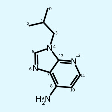 CC(C)Cn1cnc2c(N)ccnc21